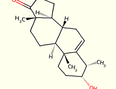 C[C@H]1C2=CC[C@@H]3[C@H](CC[C@]4(C)C(=O)CC[C@@H]34)[C@@]2(C)CC[C@H]1O